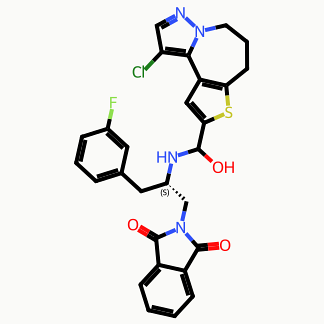 O=C1c2ccccc2C(=O)N1C[C@H](Cc1cccc(F)c1)NC(O)c1cc2c(s1)CCCn1ncc(Cl)c1-2